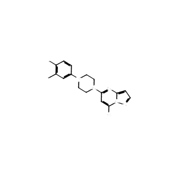 Nc1cc(N2CCN(c3ccc(Cl)c(Cl)c3)CC2)nc2ccnn12